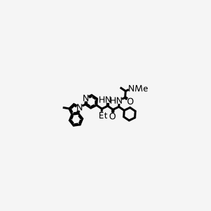 CCC(C(=N)C(=O)C(NC(=O)C(C)NC)C1CCCCC1)c1ccnc(-n2cc(C)c3ccccc32)c1